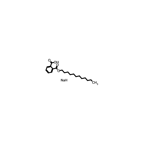 CCCCCCCCCCCCOC(=O)c1ccccc1C(=O)O.[NaH]